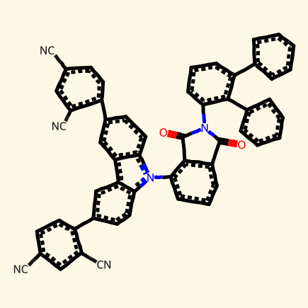 N#Cc1ccc(-c2ccc3c(c2)c2cc(-c4ccc(C#N)cc4C#N)ccc2n3-c2cccc3c2C(=O)N(c2cccc(-c4ccccc4)c2-c2ccccc2)C3=O)c(C#N)c1